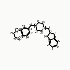 c1ccc2c(c1)CC(CN1CCN(Cc3ccc4c(c3)OCCO4)CC1)C2